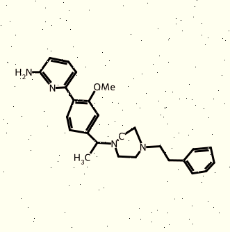 COc1cc(C(C)N2CCN(CCc3ccccc3)CC2)ccc1-c1cccc(N)n1